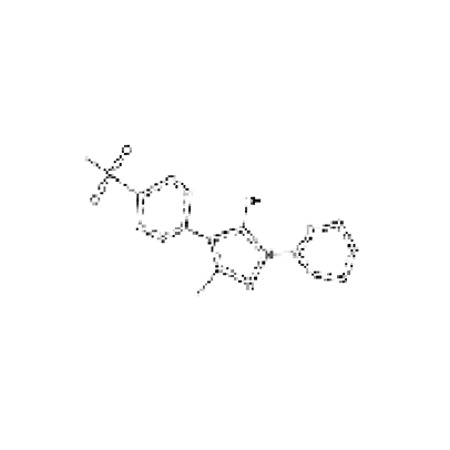 Cc1nn(-c2ccccn2)c(O)c1-c1ccc(S(C)(=O)=O)cc1